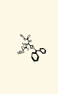 CC(C)(C)OC(=O)NC(NC(=O)OC(C)(C)C)C1CN(C(c2ccccc2)c2ccccc2)C1